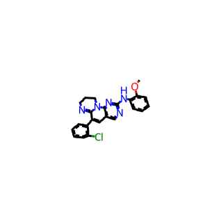 COc1ccccc1Nc1ncc2c(n1)N1CCCN=C1C(c1ccccc1Cl)=C2